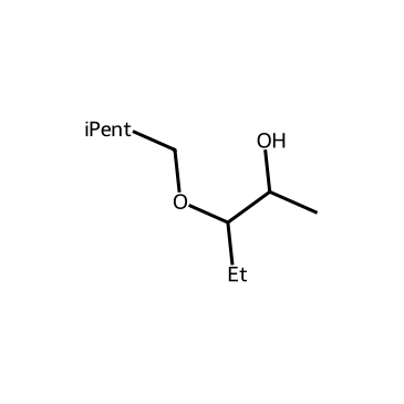 CCCC(C)COC(CC)C(C)O